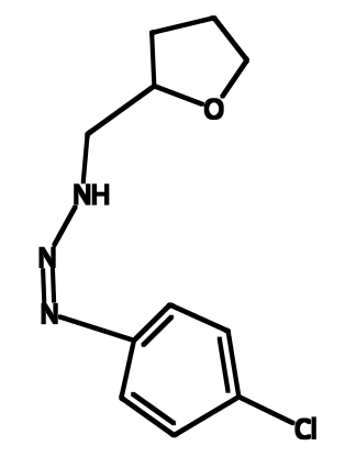 Clc1ccc(/N=N\NCC2CCCO2)cc1